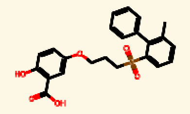 Cc1cccc(S(=O)(=O)CCCOc2ccc(O)c(C(=O)O)c2)c1-c1ccccc1